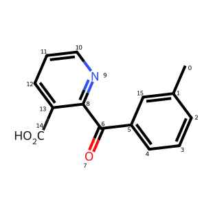 Cc1cccc(C(=O)c2ncccc2C(=O)O)c1